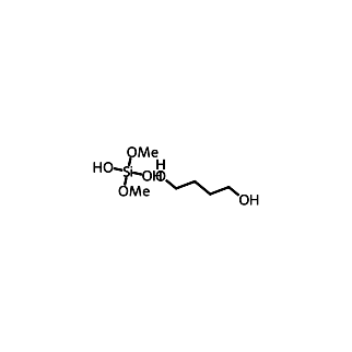 CO[Si](O)(O)OC.OCCCCO